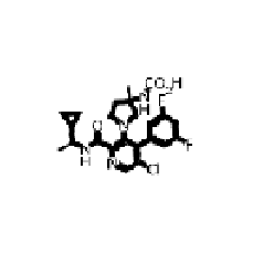 C[C@H](NC(=O)c1ncc(Cl)c(-c2cc(F)cc(F)c2)c1N1CC[C@](C)(NC(=O)O)C1)C1CC1